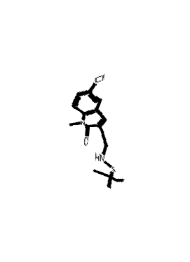 Cn1c(=O)c(CNSC(C)(C)C)cc2cc(Cl)ccc21